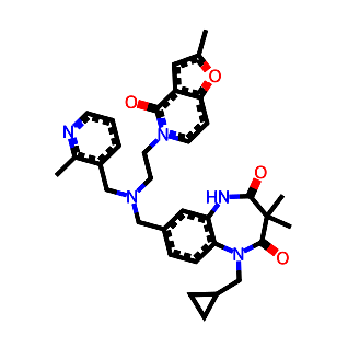 Cc1cc2c(=O)n(CCN(Cc3ccc4c(c3)NC(=O)C(C)(C)C(=O)N4CC3CC3)Cc3cccnc3C)ccc2o1